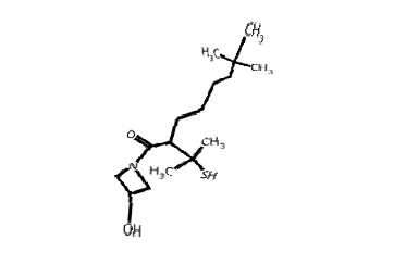 CC(C)(C)CCCCC(C(=O)N1CC(O)C1)C(C)(C)S